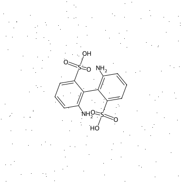 Nc1cccc(S(=O)(=O)O)c1-c1c(N)cccc1S(=O)(=O)O